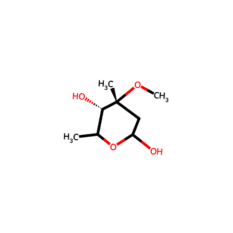 CO[C@]1(C)CC(O)OC(C)[C@@H]1O